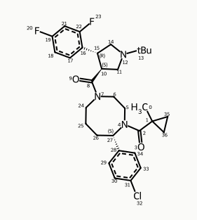 CC1(C(=O)N2CCN(C(=O)[C@@H]3CN(C(C)(C)C)C[C@H]3c3ccc(F)cc3F)CCC[C@H]2c2ccc(Cl)cc2)CC1